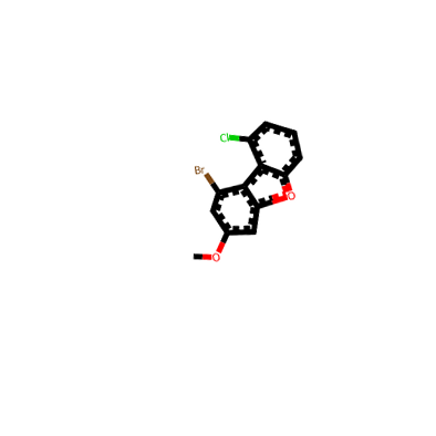 COc1cc(Br)c2c(c1)oc1cccc(Cl)c12